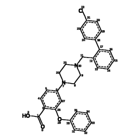 O=C(O)c1ccc(N2CCN(Cc3ccccc3-c3ccc(Cl)cc3)CC2)cc1Oc1ccccc1